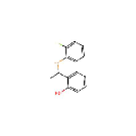 CC(Pc1ccccc1F)c1ccccc1O